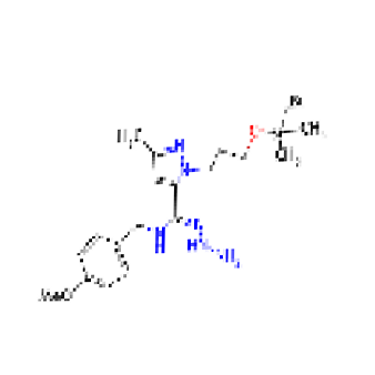 COc1ccc(CN/C(=N\NN)c2cc(C)nn2CCCO[Si](C)(C)C(C)(C)C)cc1